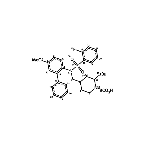 COc1ccc(N(CC2CCN(C(=O)O)C(C(C)(C)C)C2)S(=O)(=O)c2ccccc2F)c(-c2ccccc2)c1